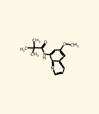 COc1cc(NC(=O)C(C)(C)C)c2ncccc2c1